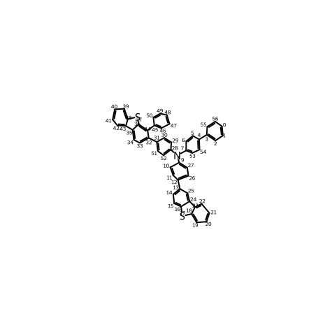 c1ccc(-c2ccc(N(c3ccc(-c4ccc5sc6ccccc6c5c4)cc3)c3ccc(-c4ccc5c(sc6ccccc65)c4-c4ccccc4)cc3)cc2)cc1